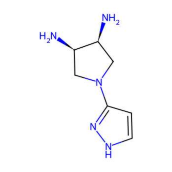 N[C@@H]1CN(c2cc[nH]n2)C[C@@H]1N